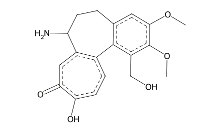 COc1cc2c(c(CO)c1OC)-c1ccc(O)c(=O)cc1C(N)CC2